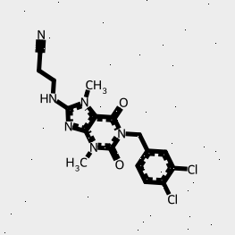 Cn1c(NCCC#N)nc2c1c(=O)n(Cc1ccc(Cl)c(Cl)c1)c(=O)n2C